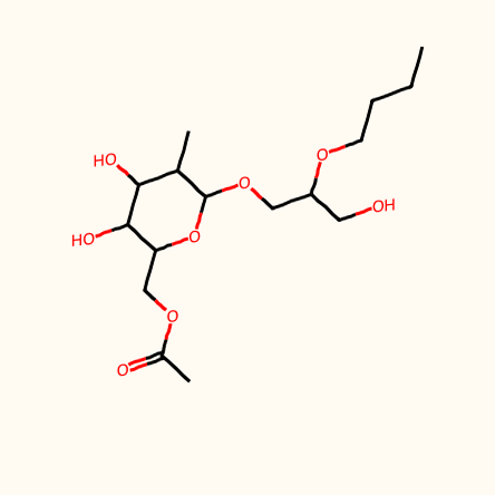 CCCCOC(CO)COC1OC(COC(C)=O)C(O)C(O)C1C